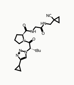 CC(C)(C)[C@@H](C(=O)N1CCC[C@H]1C(=O)NCC(=O)NCC1(C#N)CC1)n1cc(C2CC2)nn1